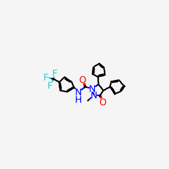 CN1C(=O)C(c2ccccc2)C(c2ccccc2)N1C(=O)Nc1ccc(C(F)(F)F)cc1